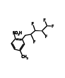 Cc1ccc(S(=O)(=O)O)c(CC(F)C(F)C(F)C(F)F)c1